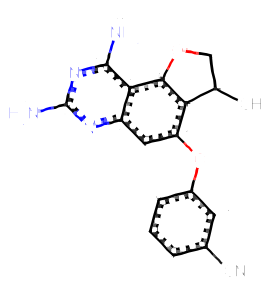 CC1COc2c1c(Oc1cccc(C#N)c1)cc1nc(N)nc(N)c21